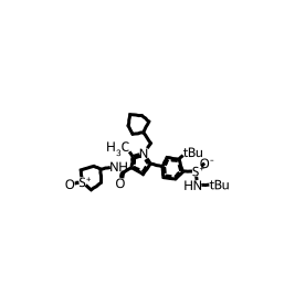 Cc1c(C(=O)NC2CC[S+]([O-])CC2)cc(-c2ccc([S+]([O-])NC(C)(C)C)c(C(C)(C)C)c2)n1CC1CCCCC1